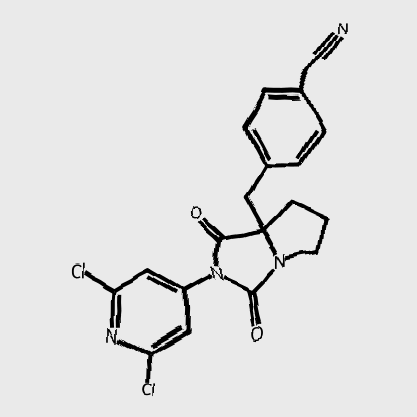 N#Cc1ccc(CC23CCCN2C(=O)N(c2cc(Cl)nc(Cl)c2)C3=O)cc1